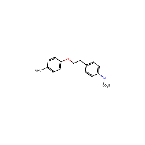 O=Cc1ccc(OCCc2ccc(NC(=O)O)cc2)cc1